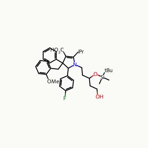 COc1ccccc1CC1(c2ccccc2)C(C(=O)O)=C(C(C)C)N(CCC(CCO)O[Si](C)(C)C(C)(C)C)C1c1ccc(F)cc1